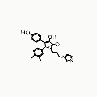 Cc1ccc(C2C(c3ccc(O)cc3)=C(O)C(=O)N2CCCn2ccnc2)cc1C